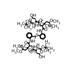 COC(CC(C)(C)C(NC(=O)[C@H](CCO)NC(=O)OC(C)(C)C)C(=O)Nc1ccccc1SSc1ccccc1NC(=O)[C@H](NC(=O)[C@H](CCO)NC(=O)OC(C)(C)C)C(C)(C)CC(OC)OC)OC